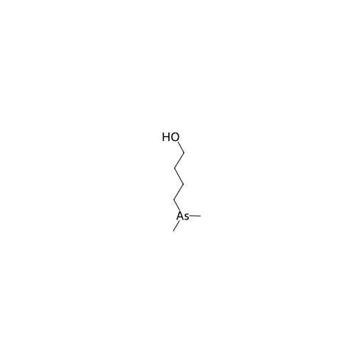 C[As](C)CCCCO